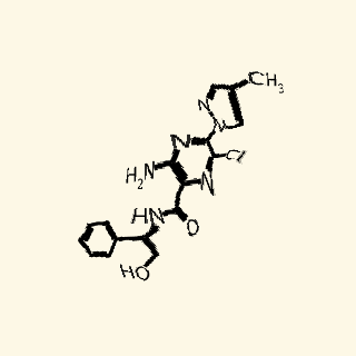 Cc1cnn(-c2nc(N)c(C(=O)NC(CO)c3ccccc3)nc2Cl)c1